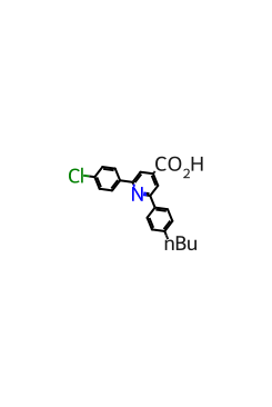 CCCCc1ccc(-c2cc(C(=O)O)cc(-c3ccc(Cl)cc3)n2)cc1